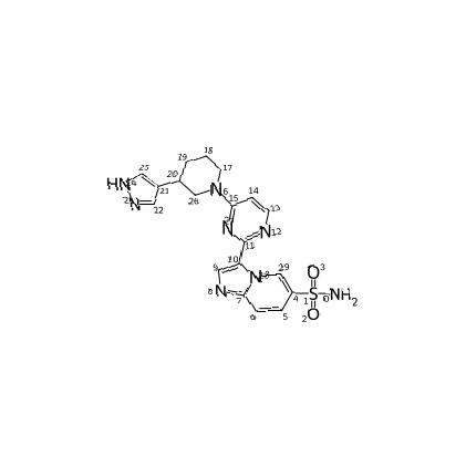 NS(=O)(=O)c1ccc2ncc(-c3nccc(N4CCCC(c5cn[nH]c5)C4)n3)n2c1